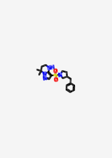 CC1(C)CCNc2c(S(=O)(=O)N3CCC(Cc4ccccc4)C3)cnn21